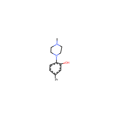 CC(C)c1ccc(N2CCN(C)CC2)c(O)c1